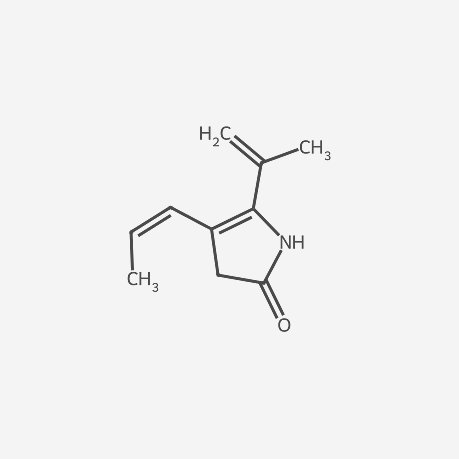 C=C(C)C1=C(/C=C\C)CC(=O)N1